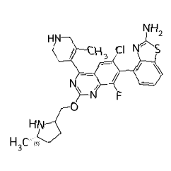 CC1=C(c2nc(OCC3CC[C@H](C)N3)nc3c(F)c(-c4cccc5sc(N)nc45)c(Cl)cc23)CCNC1